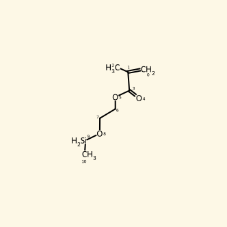 C=C(C)C(=O)OCCO[SiH2]C